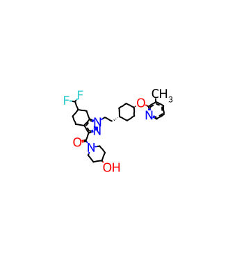 Cc1cccnc1O[C@H]1CC[C@@H](CCn2nc(C(=O)N3CCC(O)CC3)c3c2CC(C(F)F)CC3)CC1